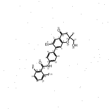 CCc1cc2c(cc1-c1ccc(NC(=O)c3c(F)cccc3F)cc1)OC(C)(CO)CC2=O